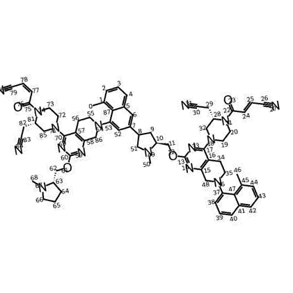 Cc1cccc2cc(C3C[C@@H](COc4nc5c(c(N6CCN(C(=O)/C=C/C#N)[C@@H](CC#N)C6)n4)CCN(c4cccc6cccc(C)c46)C5)N(C)C3)cc(N3CCc4c(nc(OC[C@@H]5CCCN5C)nc4N4CCN(C(=O)/C=C\C#N)[C@@H](CC#N)C4)C3)c12